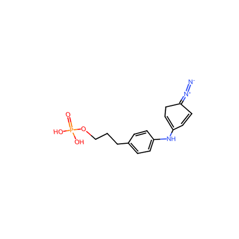 [N-]=[N+]=C1C=CC(Nc2ccc(CCCOP(=O)(O)O)cc2)=CC1